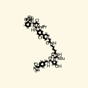 Cc1cc(Nc2ncc(Cl)c(Nc3ccccc3S(=O)(=O)C(C)C)n2)c(OC(C)C)cc1C1CCN(CC(=O)NCCCCC(=O)N[C@H](C(=O)N2C[C@H](O)C[C@H]2C(=O)NCc2ccc(-c3scnc3C)cc2)C(C)(C)C)CC1